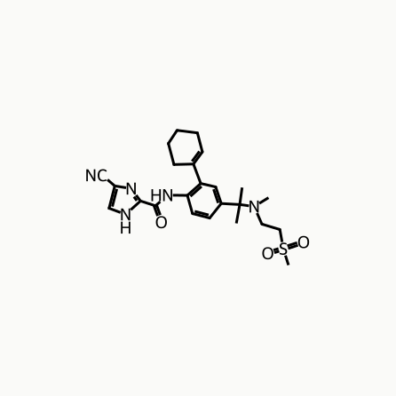 CN(CCS(C)(=O)=O)C(C)(C)c1ccc(NC(=O)c2nc(C#N)c[nH]2)c(C2=CCCCC2)c1